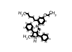 CCCCCc1cc(OCC)ccc1N=NC1=C(c2ccccc2)NC(C)C1c1ccccc1